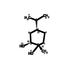 CC(C)[C@@H]1CC[C@](C)(O)[C@H](O)C1